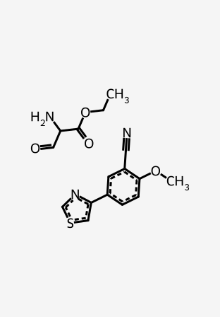 CCOC(=O)C(N)C=O.COc1ccc(-c2cscn2)cc1C#N